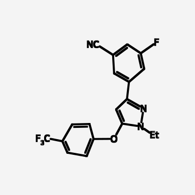 CCn1nc(-c2cc(F)cc(C#N)c2)cc1Oc1ccc(C(F)(F)F)cc1